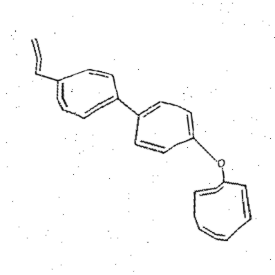 [CH]=Cc1ccc(-c2ccc(Oc3ccccc3)cc2)cc1